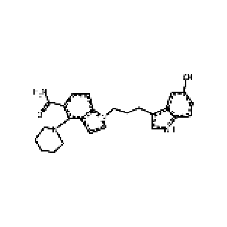 N#Cc1ccc2[nH]cc(CCCn3ccc4c(N5CCCCC5)c(C(N)=O)ccc43)c2c1